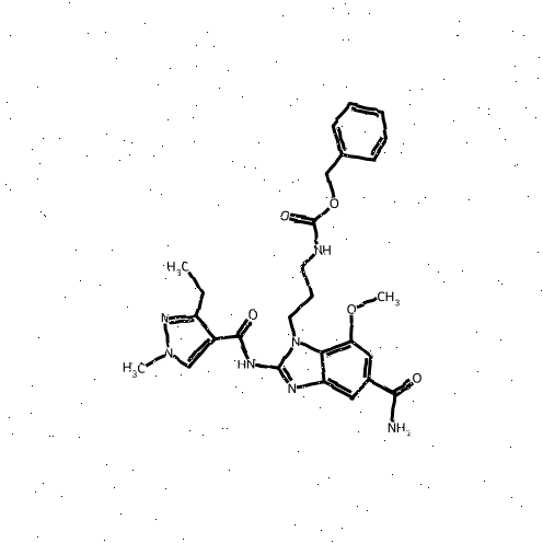 CCc1nn(C)cc1C(=O)Nc1nc2cc(C(N)=O)cc(OC)c2n1CCCNC(=O)OCc1ccccc1